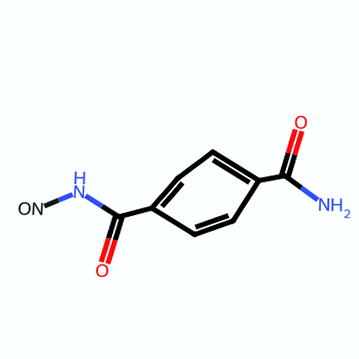 NC(=O)c1ccc(C(=O)NN=O)cc1